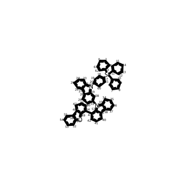 c1ccc([Si](c2ccccc2)(c2ccccc2)c2ccc(-n3c4ccccc4c4ccc(-n5c6ccccc6c6cccc(-c7cccc8c7oc7ccccc78)c65)cc43)cc2)cc1